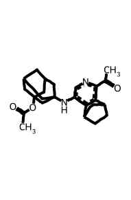 CC(=O)OC12CC3CC(CC(Nc4cnc(C(C)=O)c5c4C4CCC5CC4)(C3)C1)C2